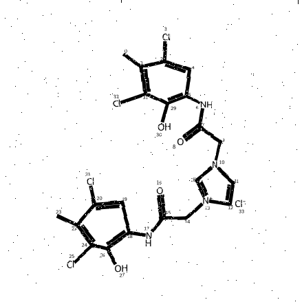 Cc1c(Cl)cc(NC(=O)Cn2cc[n+](CC(=O)Nc3cc(Cl)c(C)c(Cl)c3O)c2)c(O)c1Cl.[Cl-]